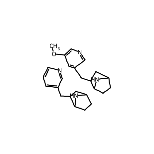 COc1cncc(CC2CC3CCC2N3)c1.c1cncc(CC2CC3CCC2N3)c1